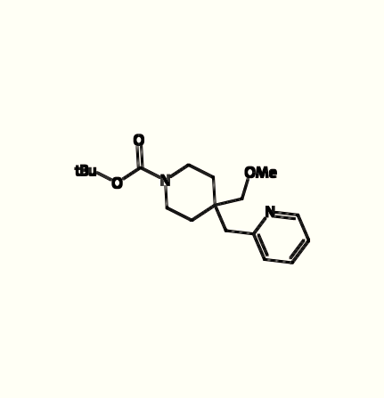 COCC1(Cc2ccccn2)CCN(C(=O)OC(C)(C)C)CC1